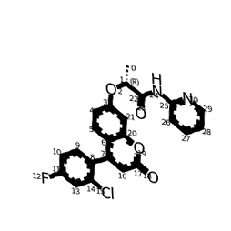 C[C@@H](Oc1ccc2c(-c3ccc(F)cc3Cl)cc(=O)oc2c1)C(=O)Nc1ccccn1